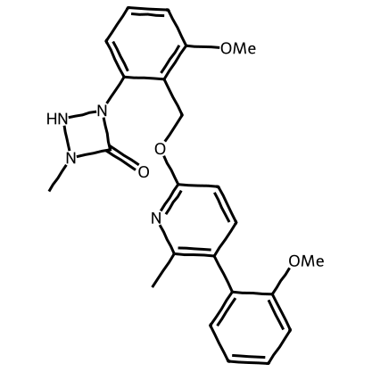 COc1ccccc1-c1ccc(OCc2c(OC)cccc2-n2[nH]n(C)c2=O)nc1C